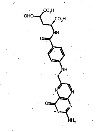 Nc1nc2ncc(CNc3ccc(C(=O)N[C@@H](CC(C=O)C(=O)O)C(=O)O)cc3)nc2c(=O)[nH]1